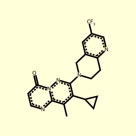 Cc1c(C2CC2)c(N2CCc3ncc(C(F)(F)F)cc3C2)nn2c(=O)ccnc12